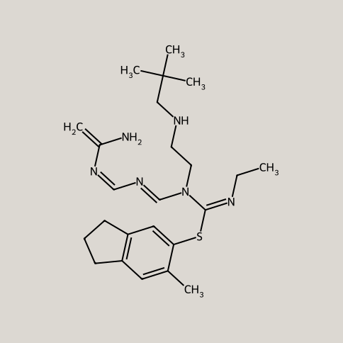 C=C(N)/N=C\N=C\N(CCNCC(C)(C)C)/C(=N\CC)Sc1cc2c(cc1C)CCC2